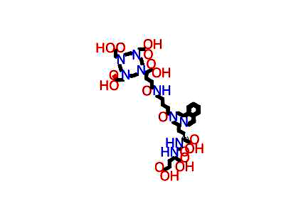 O=C(O)CCC(NC(=O)N[C@@H](CCCCN(Cc1nccc2ccccc12)C(=O)CCCCNC(=O)CCC(C(=O)O)N1CCN(CC(=O)O)CCN(CC(=O)O)CCN(CC(=O)O)CC1)C(=O)O)C(=O)O